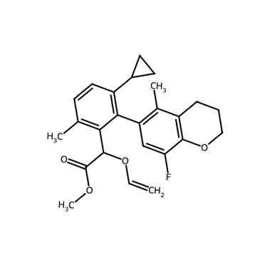 C=COC(C(=O)OC)c1c(C)ccc(C2CC2)c1-c1cc(F)c2c(c1C)CCCO2